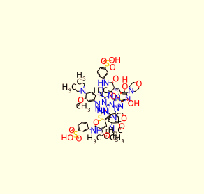 CCN(CC)c1cc(Nc2nc(Nc3cc(N(CC)CC)c(OC)cc3/N=N/c3nc(N4CCOCC4)c(/C=C(\C(C)=O)C(=O)Nc4cccc(S(=O)(=O)O)c4)s3)nc(N(CCO)CCO)n2)c(/N=N/c2nc(N3CCOCC3)c(C=C(C(C)=O)C(=O)Nc3cccc(S(=O)(=O)O)c3)s2)cc1OC